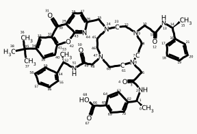 C[C@H](NC(=O)CN1CCN(CC(=O)N[C@@H](C)c2ccccc2)CCN(Cc2ccc3c(=O)c4cc(C(C)(C)C)ccc4oc3n2)CCN(CC(=O)N[C@@H](C)c2ccccc2)CC1)c1ccc(C(=O)O)cc1